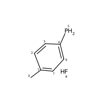 Cc1ccc(P)cc1.F